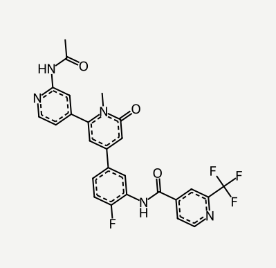 CC(=O)Nc1cc(-c2cc(-c3ccc(F)c(NC(=O)c4ccnc(C(F)(F)F)c4)c3)cc(=O)n2C)ccn1